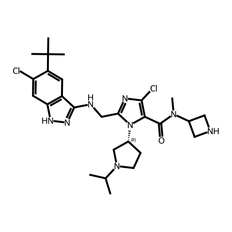 CC(C)N1CC[C@@H](n2c(CNc3n[nH]c4cc(Cl)c(C(C)(C)C)cc34)nc(Cl)c2C(=O)N(C)C2CNC2)C1